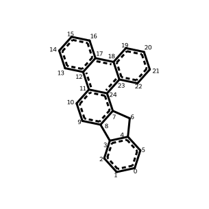 c1ccc2c(c1)Cc1c-2ccc2c3ccccc3c3ccccc3c12